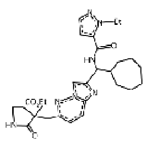 CCOC(=O)C1(Cc2ccc3nc(C(NC(=O)c4ccnn4CC)C4CCCCCC4)cn3n2)CCNC1=O